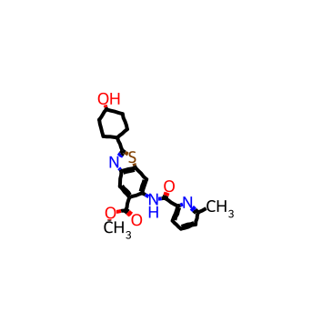 COC(=O)c1cc2nc(C3CCC(O)CC3)sc2cc1NC(=O)c1cccc(C)n1